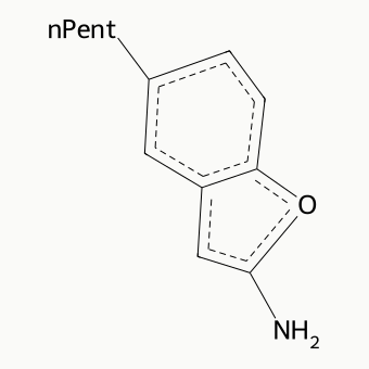 CCCCCc1ccc2oc(N)cc2c1